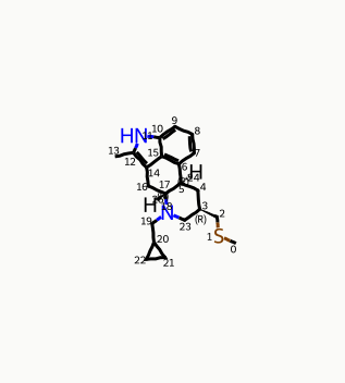 CSC[C@@H]1C[C@@H]2c3cccc4[nH]c(C)c(c34)C[C@H]2N(CC2CC2)C1